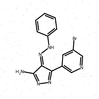 NC1=NN=C(c2cncc(Br)c2)/C1=N\Nc1ccccc1